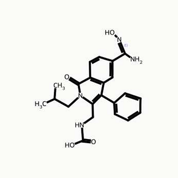 CC(C)Cn1c(CNC(=O)O)c(-c2ccccc2)c2cc(/C(N)=N\O)ccc2c1=O